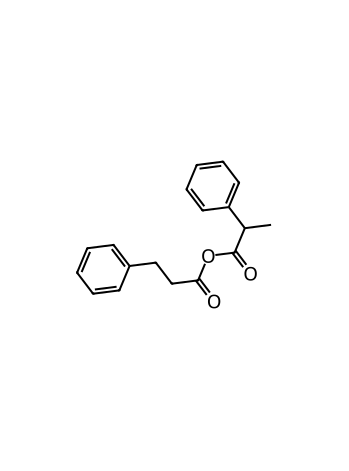 CC(C(=O)OC(=O)CCc1ccccc1)c1ccccc1